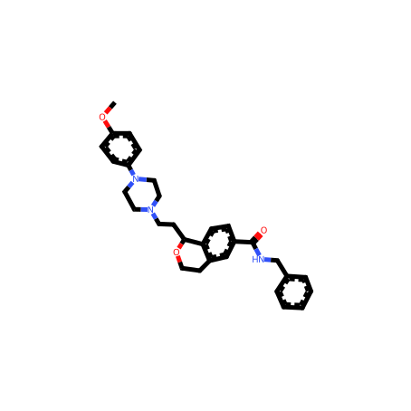 COc1ccc(N2CCN(CCC3OCCc4cc(C(=O)NCc5ccccc5)ccc43)CC2)cc1